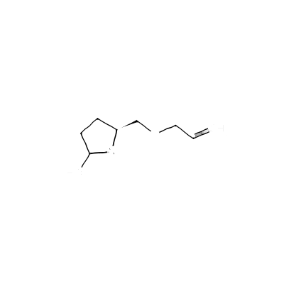 C=CCSC[C@@H]1CCC(O)N1